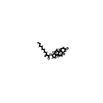 CCCCCCCCC(C)C(=O)O[C@H]1CC[C@H]2[C@@H]3CC[C@H]4CC(=O)CC[C@]4(C)[C@H]3CC[C@]12C